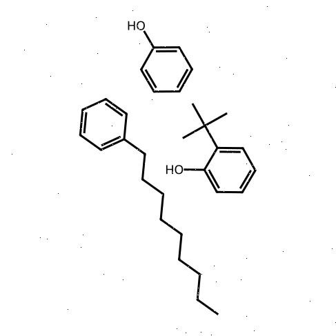 CC(C)(C)c1ccccc1O.CCCCCCCCCc1ccccc1.Oc1ccccc1